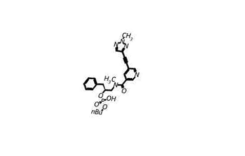 CCCCOP(=O)(O)O[C@@H](Cc1ccccc1)CN(C)C(=O)c1cncc(C#Cc2cnn(C)n2)c1